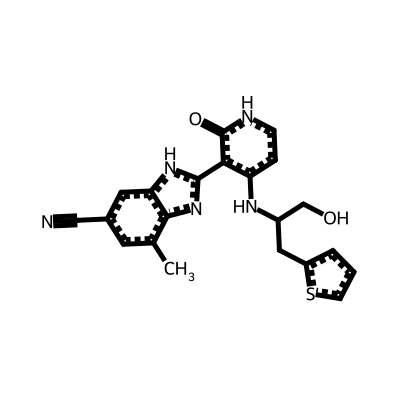 Cc1cc(C#N)cc2[nH]c(-c3c(NC(CO)Cc4cccs4)cc[nH]c3=O)nc12